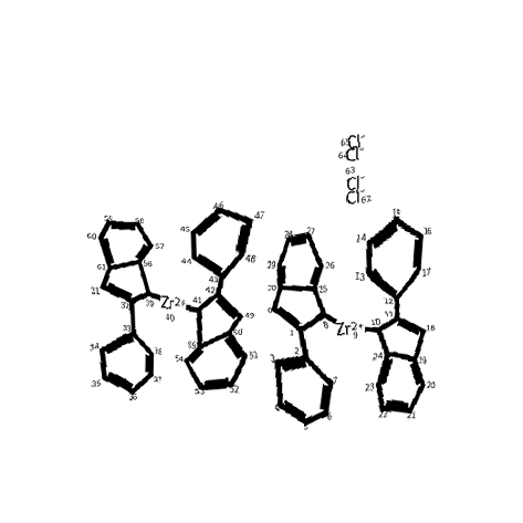 C1=C(c2ccccc2)[CH]([Zr+2][CH]2C(c3ccccc3)=Cc3ccccc32)c2ccccc21.C1=C(c2ccccc2)[CH]([Zr+2][CH]2C(c3ccccc3)=Cc3ccccc32)c2ccccc21.[Cl-].[Cl-].[Cl-].[Cl-]